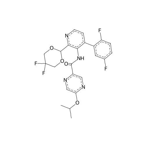 CC(C)Oc1cnc(C(=O)Nc2c(-c3cc(F)ccc3F)ccnc2C2OCC(F)(F)CO2)cn1